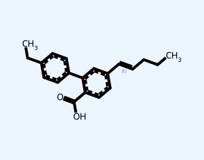 CCC/C=C/c1ccc(C(=O)O)c(-c2ccc(CC)cc2)c1